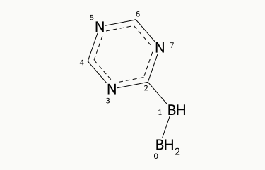 BBc1ncncn1